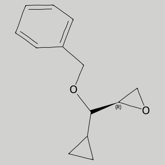 c1ccc(COC(C2CC2)[C@H]2CO2)cc1